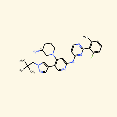 COc1cccc(F)c1-c1nccc(Nc2cc(N3CCC[C@H](N)C3)c(-c3cnn(CC(C)(C)OC)c3)cn2)n1